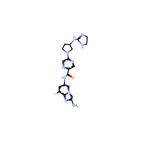 Cc1cn2cc(NC(=O)c3cnc(N4CCC(NC5=NCCN5)C4)cn3)cc(F)c2n1